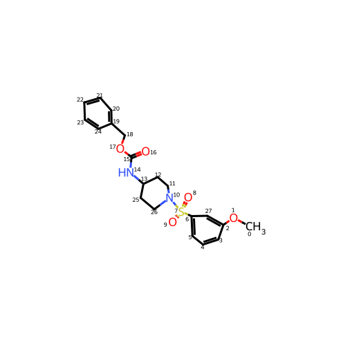 COc1cccc(S(=O)(=O)N2CCC(NC(=O)OCc3ccccc3)CC2)c1